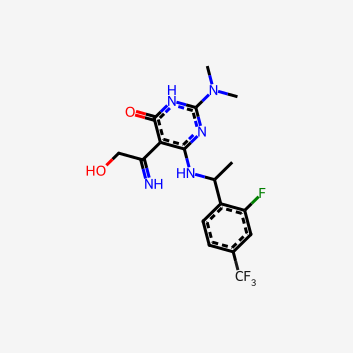 CC(Nc1nc(N(C)C)[nH]c(=O)c1C(=N)CO)c1ccc(C(F)(F)F)cc1F